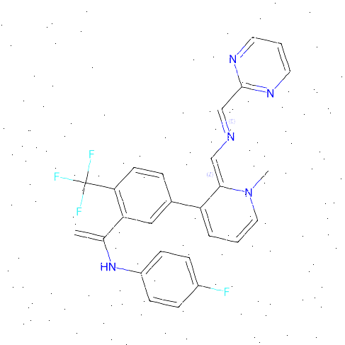 C=C(Nc1ccc(F)cc1)c1cc(C2=CC=CN(C)/C2=C\N=C\c2ncccn2)ccc1C(F)(F)F